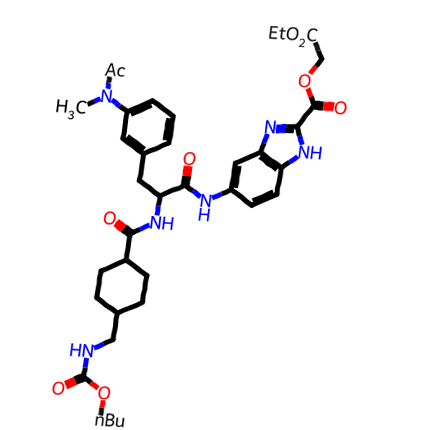 CCCCOC(=O)NCC1CCC(C(=O)NC(Cc2cccc(N(C)C(C)=O)c2)C(=O)Nc2ccc3[nH]c(C(=O)OCC(=O)OCC)nc3c2)CC1